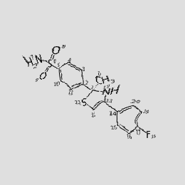 C[C@]1(c2ccc(S(N)(=O)=O)cc2)NC(c2ccc(F)cc2)=CS1